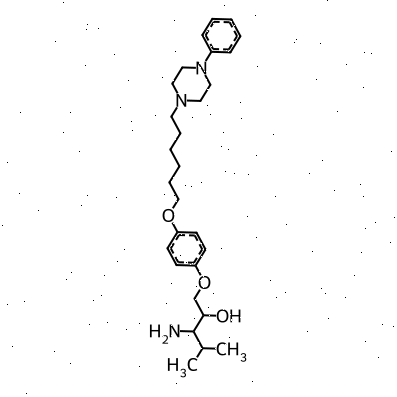 CC(C)C(N)C(O)COc1ccc(OCCCCCCN2CCN(c3ccccc3)CC2)cc1